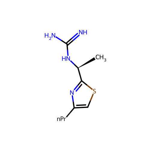 CCCc1csc([C@H](C)NC(=N)N)n1